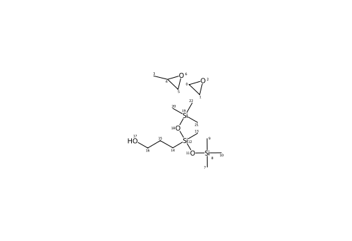 C1CO1.CC1CO1.C[Si](C)(C)O[Si](C)(CCCO)O[Si](C)(C)C